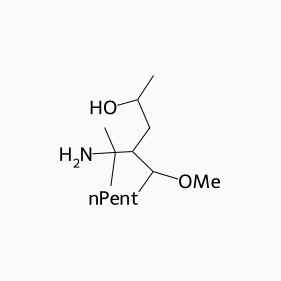 CCCCCC(OC)C(CC(C)O)C(C)(C)N